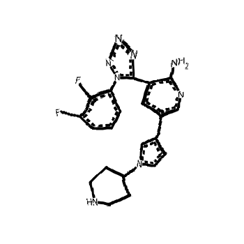 Nc1ncc(-c2ccn(C3CCNCC3)c2)cc1-c1nnnn1-c1cccc(F)c1F